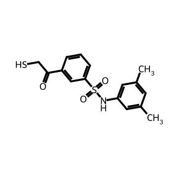 Cc1cc(C)cc(NS(=O)(=O)c2cccc(C(=O)CS)c2)c1